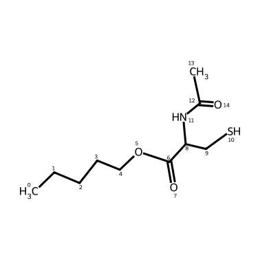 CCCCCOC(=O)C(CS)NC(C)=O